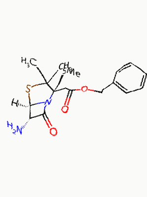 CS[C@@]1(C(=O)OCc2ccccc2)N2C(=O)[C@H](N)[C@H]2SC1(C)C